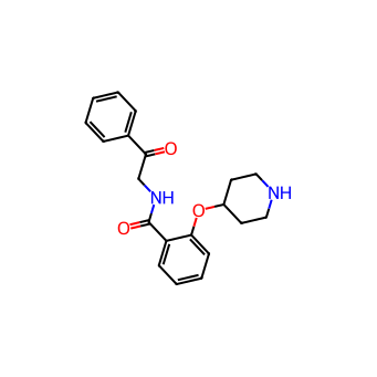 O=C(CNC(=O)c1ccccc1OC1CCNCC1)c1ccccc1